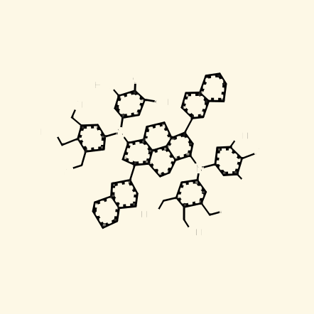 CCc1cc(N(c2cc(C)c(C)c(C)c2)c2cc(-c3ccc4ccccc4c3)c3ccc4c(N(c5cc(C)c(C)c(C)c5)c5cc(CC)c(CC)c(CC)c5)cc(-c5ccc6ccccc6c5)c5ccc2c3c54)cc(CC)c1CC